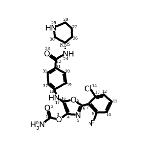 NC(=O)Oc1nc(-c2c(F)cccc2Cl)oc1Nc1ccc(C(=O)N[C@H]2CCCNC2)cc1